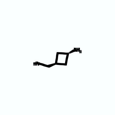 CCCC[C@H]1C[C@H](N)C1